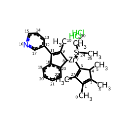 CC1=C(C)C(C)[C]([Zr]([CH]2C(C)=C(c3cccnc3)c3ccccc32)=[Si](C)C)=C1C.Cl.Cl